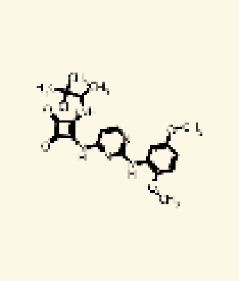 COc1ccc(OC)c(Nc2nccc(Nc3c(NC(C)C(C)(C)C)c(=O)c3=O)n2)c1